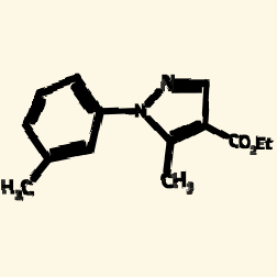 CCOC(=O)c1cnn(-c2cccc(C)c2)c1C